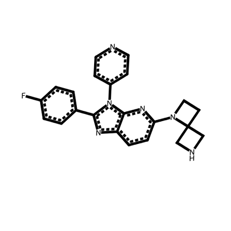 Fc1ccc(-c2nc3ccc(N4CCC45CNC5)nc3n2-c2ccncc2)cc1